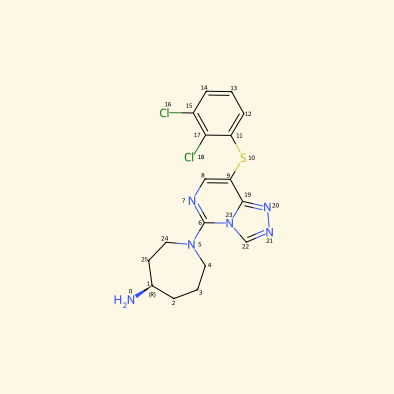 N[C@@H]1CCCN(c2ncc(Sc3cccc(Cl)c3Cl)c3nncn23)CC1